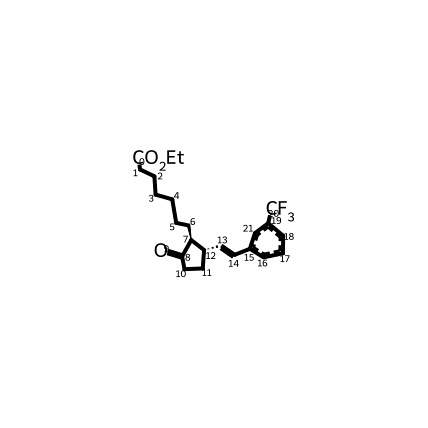 CCOC(=O)CCCCCC[C@@H]1C(=O)CC[C@H]1C=Cc1cccc(C(F)(F)F)c1